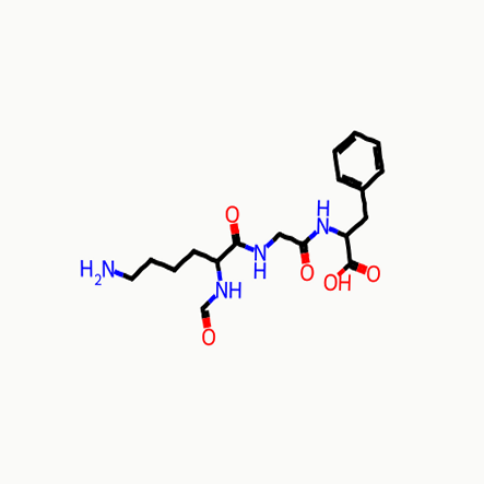 NCCCCC(NC=O)C(=O)NCC(=O)NC(Cc1ccccc1)C(=O)O